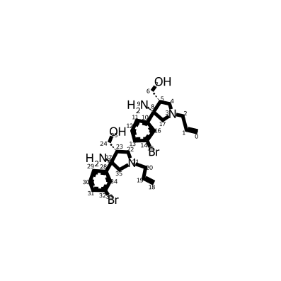 C=CCN1C[C@@H](CO)[C@](N)(c2cccc(Br)c2)C1.C=CCN1C[C@@H](CO)[C@](N)(c2cccc(Br)c2)C1